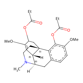 CCC(=O)Oc1c(OC)ccc2c1[C@]13CCN(C)[C@H](C2)[C@@H]1C=C(OC)C(OC(=O)CC)C3